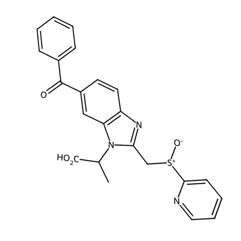 CC(C(=O)O)n1c(C[S+]([O-])c2ccccn2)nc2ccc(C(=O)c3ccccc3)cc21